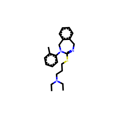 CCN(CC)CCCSC1=NCc2ccccc2CN1c1ccccc1C